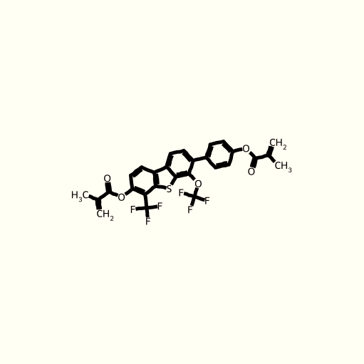 C=C(C)C(=O)Oc1ccc(-c2ccc3c(sc4c(C(F)(F)F)c(OC(=O)C(=C)C)ccc43)c2OC(F)(F)F)cc1